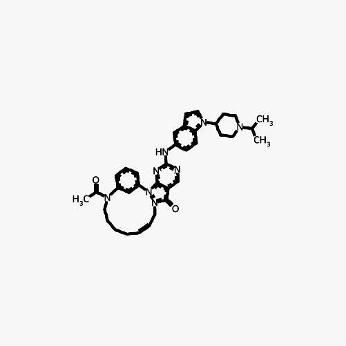 CC(=O)N1CCCC/C=C\Cn2c(=O)c3cnc(Nc4ccc5c(ccn5C5CCN(C(C)C)CC5)c4)nc3n2-c2cccc1c2